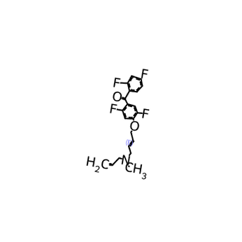 C=CCN(C)C/C=C/COc1cc(F)c(C(=O)c2ccc(F)cc2F)cc1F